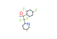 Fc1ccc(C2(C(F)(F)c3cc[c]cn3)CO2)c(F)c1